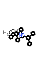 CC1(C)c2ccccc2-c2c(-c3ccccc3-c3cc(-c4cc(-c5ccccc5)cc(-c5ccccc5)c4)nc(-c4ccccc4)n3)cccc21